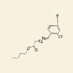 CCCCOC(=O)CO/N=C/c1c[c]c(F)cc1Cl